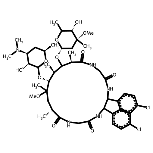 COC1(C)C[C@@H](C)C(=O)NCC(=O)NC(c2ccc(Cl)cc2)C(c2ccc(Cl)cc2)NC(=O)CNC(=O)[C@H](C)C(O[C@H]2C[C@@](C)(OC)[C@@H](O)C(C)O2)[C@H](C)[C@H]1OC1O[C@H](C)C[C@H](N(C)C)[C@H]1O